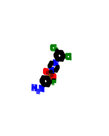 Nc1ccc(S(=O)(=O)N2CCN(c3cc(Cl)cc(Cl)c3)CC2)c(F)c1